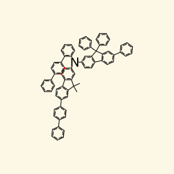 CC1(C)c2cc(-c3ccc(-c4ccccc4)cc3)ccc2-c2ccc(N(c3ccc4c(c3)C(c3ccccc3)(c3ccccc3)c3cc(-c5ccccc5)ccc3-4)c3ccccc3-c3ccc(-c4ccccc4)cc3)cc21